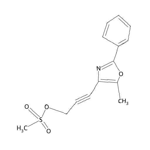 Cc1oc(-c2ccccc2)nc1C#CCOS(C)(=O)=O